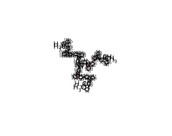 CC1(C)c2ccccc2-c2ccc(-n3c4ccccc4c4ccc(-c5ccc6c7ccccc7n(-c7ccc(-c8nc(-c9cccc(-n%10c%11ccccc%11c%11ccc(-c%12ccc%13c%14ccccc%14n(-c%14ccc%15c(c%14)C(C)(C)c%14ccccc%14-%15)c%13c%12)cc%11%10)c9)c9cc(-n%10c%11ccccc%11c%11ccc(-c%12ccc%13c%14ccccc%14n(-c%14ccc%15c(c%14)C(C)(C)c%14ccccc%14-%15)c%13c%12)cc%11%10)ccc9n8)cc7)c6c5)cc43)cc21